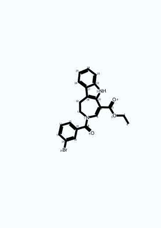 CCOC(=O)C1=CN(C(=O)c2cccc(Br)c2)CCc2c1[nH]c1ccccc21